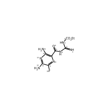 CCOC(=O)NC(=N)NC(=O)c1nc(F)c(N)nc1N